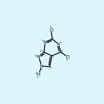 [2H]n1cc2c(Cl)nc(Cl)nc2n1